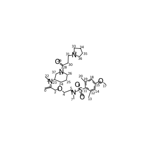 C=C(COCCN(C)S(=O)(=O)c1c(C)cc(OC)cc1C)N(C)C1CCCN(C(=O)CCN2CCCC2)C1